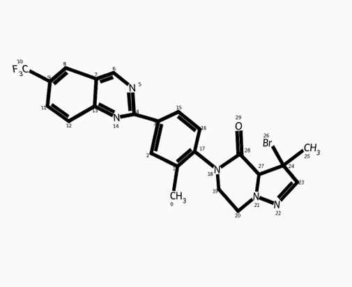 Cc1cc(-c2ncc3cc(C(F)(F)F)ccc3n2)ccc1N1CCN2N=CC(C)(Br)C2C1=O